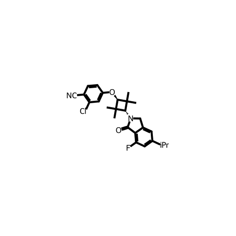 CC(C)c1cc(F)c2c(c1)CN([C@H]1C(C)(C)[C@H](Oc3ccc(C#N)c(Cl)c3)C1(C)C)C2=O